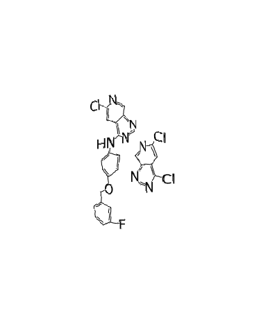 Clc1cc2c(Cl)ncnc2cn1.Fc1cccc(COc2ccc(Nc3ncnc4cnc(Cl)cc34)cc2)c1